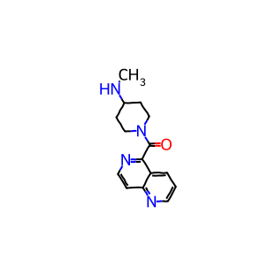 CNC1CCN(C(=O)c2nccc3ncccc23)CC1